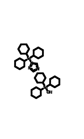 [OH][Sn]([CH]1CCCCC1)([CH]1CCCCC1)[CH]1CCCCC1.c1nc[n]([Sn]([CH]2CCCCC2)([CH]2CCCCC2)[CH]2CCCCC2)n1